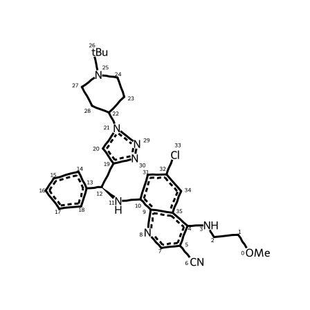 COCCNc1c(C#N)cnc2c(N[C@@H](c3ccccc3)c3cn(C4CCN(C(C)(C)C)CC4)nn3)cc(Cl)cc12